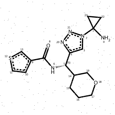 NC1(n2cc([C@@H](NC(=O)c3ccsc3)C3CCCOC3)nn2)CC1